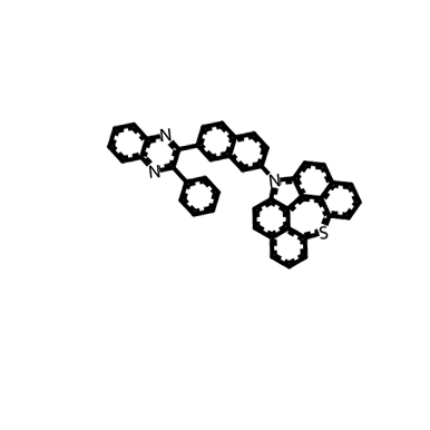 c1ccc(-c2nc3ccccc3nc2-c2ccc3ccc(-n4c5ccc6cccc7sc8cccc9ccc4c(c98)c5c67)cc3c2)cc1